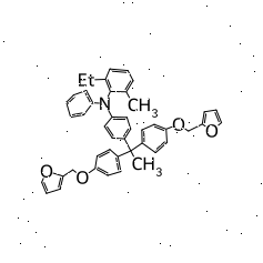 CCc1cccc(C)c1N(c1ccccc1)c1ccc(C(C)(c2ccc(OCc3ccco3)cc2)c2ccc(OCc3ccco3)cc2)cc1